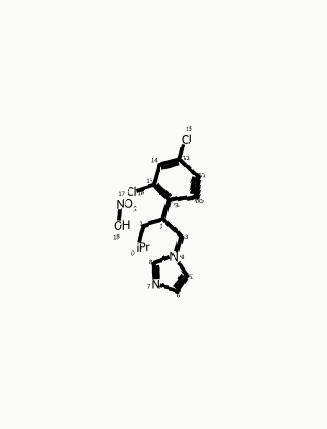 CC(C)CC(Cn1ccnc1)c1ccc(Cl)cc1Cl.O=[N+]([O-])O